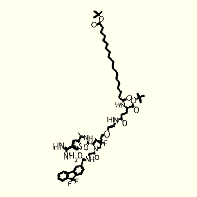 C[C@@H](NC(=O)[C@@H]1C[C@](F)(COCCNC(=O)CCC(NC(=O)CCCCCCCCCCCCCCCCC(=O)OC(C)(C)C)C(=O)OC(C)(C)C)CN1C(=O)CNC(=O)c1ccc2c(c1)-c1ccccc1C2(F)F)c1cc(C(=N)N)cs1